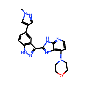 Cn1cc(-c2ccc3[nH]nc(-c4nc5c(N6CCOCC6)ccnc5[nH]4)c3c2)cn1